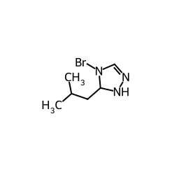 CC(C)CC1NN=CN1Br